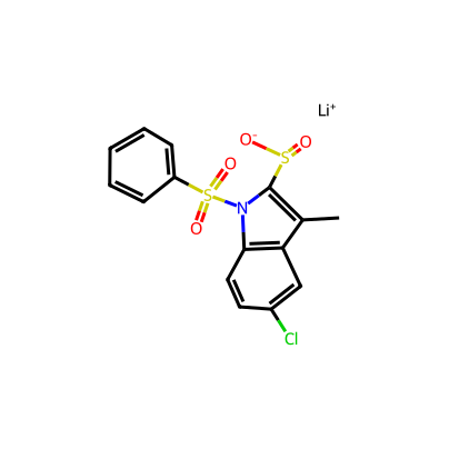 Cc1c(S(=O)[O-])n(S(=O)(=O)c2ccccc2)c2ccc(Cl)cc12.[Li+]